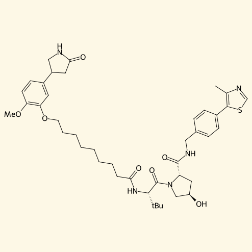 COc1ccc(C2CNC(=O)C2)cc1OCCCCCCCCC(=O)N[C@H](C(=O)N1C[C@H](O)C[C@H]1C(=O)NCc1ccc(-c2scnc2C)cc1)C(C)(C)C